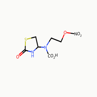 O=C1NC(N(CCO[N+](=O)[O-])C(=O)O)CS1